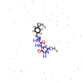 CC1=NNC(=O)N(NC(=O)N/N=C/c2ccc(C)cc2)C1